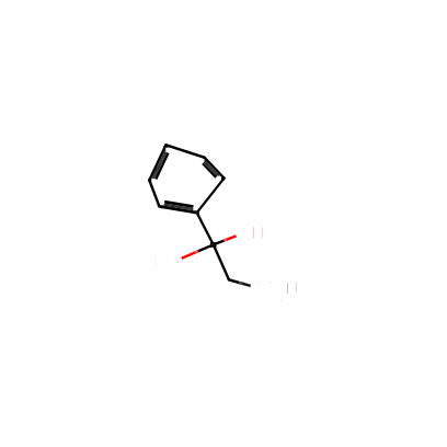 O=C(O)CC(O)(O)c1ccccc1